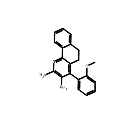 COc1ccccc1-c1c(N)c(N)nc2c1CCc1ccccc1-2